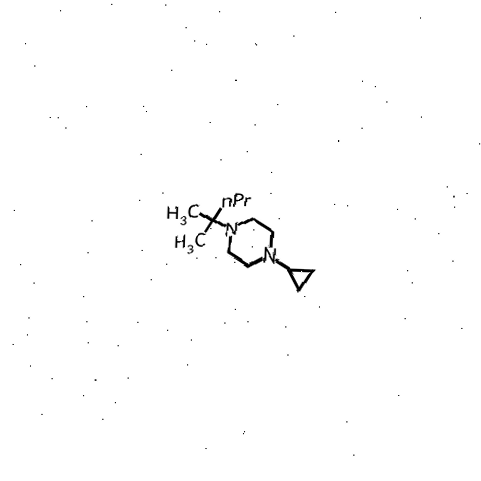 CCCC(C)(C)N1CCN(C2CC2)CC1